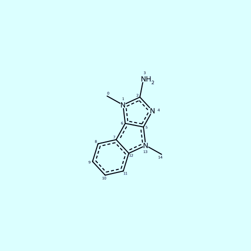 Cn1c(N)nc2c1c1ccccc1n2C